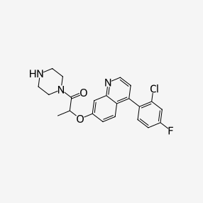 CC(Oc1ccc2c(-c3ccc(F)cc3Cl)ccnc2c1)C(=O)N1CCNCC1